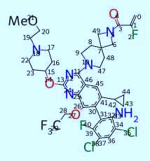 C=C(F)C(=O)N1CC2(CCN(c3nc(OC4CCN(CCOC)CC4)nc4c(OCC(F)(F)F)c(-c5c(N)c(Cl)cc(Cl)c5F)c(C5CC5)cc34)CC2)C1